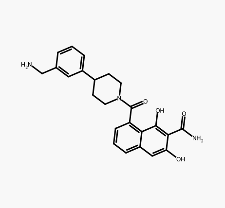 NCc1cccc(C2CCN(C(=O)c3cccc4cc(O)c(C(N)=O)c(O)c34)CC2)c1